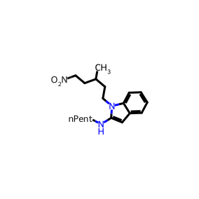 CCCCCNc1cc2ccccc2n1CCC(C)CC[N+](=O)[O-]